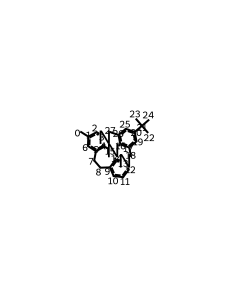 Cc1cnc2c(c1)CCc1cccnc1N2c1c(C)cc(C(C)(C)C)cc1C